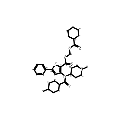 CC1CCC(C(=O)N(c2cc(-c3ccccc3)sc2C(=O)OCOC(=O)C2CCCCC2)C2CCN(C)CC2)CC1